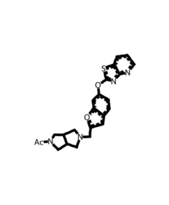 CC(=O)N1CC2CN(Cc3cc4ccc(Oc5nc6ncccc6s5)cc4o3)CC2C1